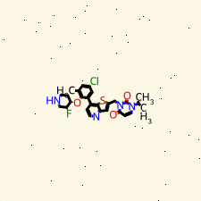 Cc1cc(Cl)cc(-c2ccnc3cc(Cn4c(=O)ccn(C(C)C)c4=O)sc23)c1O[C@H]1CCNC[C@@H]1F